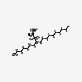 Br.CCCCCCCCCCC(CCCCCCCl)C(C)(C)N